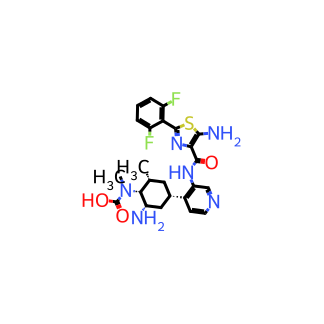 C[C@@H]1C[C@H](c2ccncc2NC(=O)c2nc(-c3c(F)cccc3F)sc2N)C[C@H](N)[C@@H]1N(C)C(=O)O